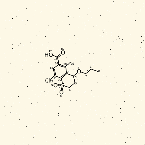 CCCOC1CCS(=O)(=O)c2c(Cl)cc(C(=O)O)c(C)c21